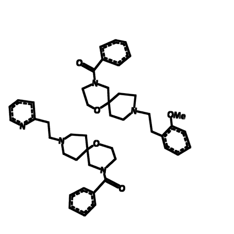 COc1ccccc1CCN1CCC2(CC1)CN(C(=O)c1ccccc1)CCO2.O=C(c1ccccc1)N1CCOC2(CCN(CCc3ccccn3)CC2)C1